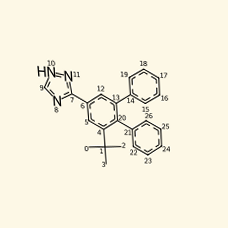 CC(C)(C)c1cc(-c2nc[nH]n2)cc(-c2ccccc2)c1-c1ccccc1